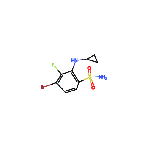 NS(=O)(=O)c1ccc(Br)c(F)c1NC1CC1